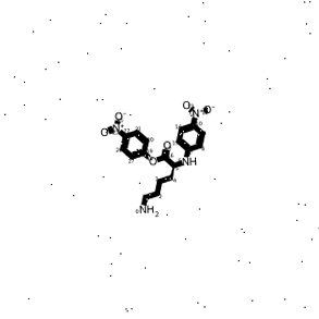 NCCCC[C@H](Nc1ccc([N+](=O)[O-])cc1)C(=O)Oc1ccc([N+](=O)[O-])cc1